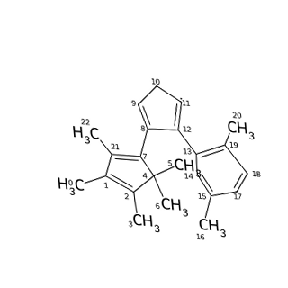 CC1=C(C)C(C)(C)C(C2=CC[C]=C2c2cc(C)ccc2C)=C1C